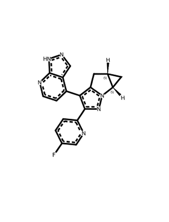 Fc1ccc(-c2nn3c(c2-c2ccnc4[nH]ncc24)C[C@@H]2C[C@@H]23)nc1